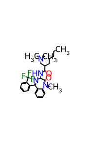 CCCCCC(CN(C)C)C(=O)NC1N=C(c2ccccc2C(F)(F)F)c2ccccc2N(C)C1=O